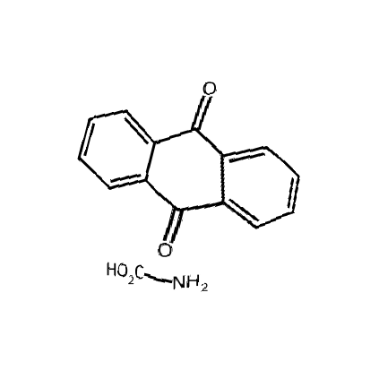 NC(=O)O.O=C1c2ccccc2C(=O)c2ccccc21